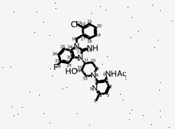 CC(=O)Nc1ccc(C)nc1N1CC[C@H](n2c(=N)n(Cc3ccccc3Cl)c3ccc(F)cc32)[C@@H](O)C1